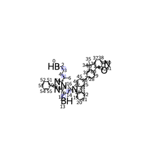 CB/C=C\C=C(/C)c1nc(C(=C/BC)/C=C(\C)n2c3ccccc3c3cc(-c4ccc5c(c4)C(C)(C)c4ccc6ncoc6c4-5)ccc32)nc(-c2ccccc2)n1